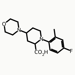 Cc1cc(F)ccc1N1CCC(N2CCOCC2)CC1C(=O)O